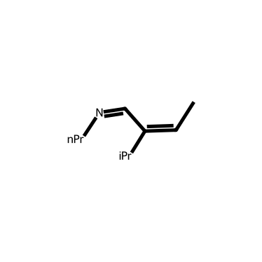 C/C=C(\C=N/CCC)C(C)C